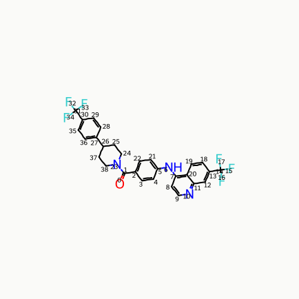 O=C(c1ccc(Nc2ccnc3cc(C(F)(F)F)ccc23)cc1)N1CCC(c2ccc(C(F)(F)F)cc2)CC1